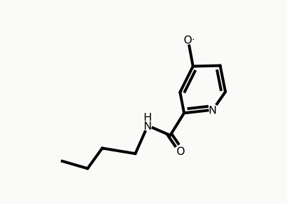 CCCCNC(=O)c1cc([O])ccn1